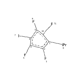 CC(C)c1c(F)c(F)c(I)c(F)c1F